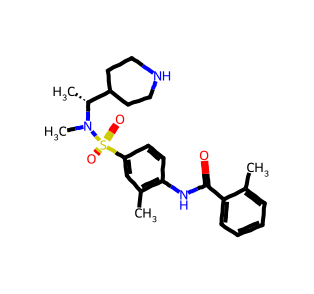 Cc1cc(S(=O)(=O)N(C)[C@H](C)C2CCNCC2)ccc1NC(=O)c1ccccc1C